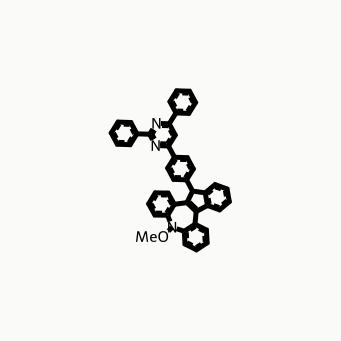 CON1c2ccccc2C2=C(c3ccccc31)C(c1ccc(-c3cc(-c4ccccc4)nc(-c4ccccc4)n3)cc1)c1ccccc12